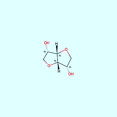 O[C@H]1CO[C@@H]2[C@H]1OC[C@@H]2O